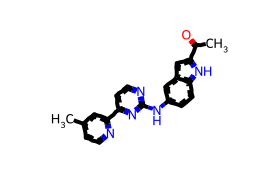 CC(=O)c1cc2cc(Nc3nccc(-c4cc(C)ccn4)n3)ccc2[nH]1